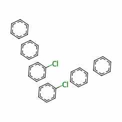 Clc1ccccc1.Clc1ccccc1.c1ccccc1.c1ccccc1.c1ccccc1.c1ccccc1